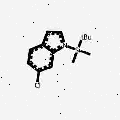 CC(C)(C)[Si](C)(C)n1ccc2ccc(Cl)cc21